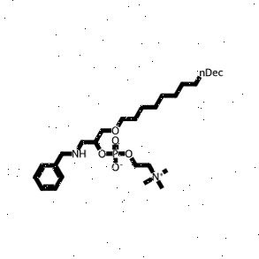 CCCCCCCCCCCCCCCCCCOCC(CNCc1ccccc1)OP(=O)([O-])OCC[N+](C)(C)C